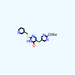 COc1ncc(Cc2cnc(SCc3cccnc3)[nH]c2=O)cn1